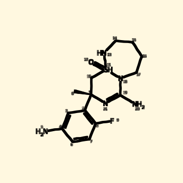 C[C@@]1(c2cc(N)ccc2F)C[SH]2(=O)NCCCCN2C(N)=N1